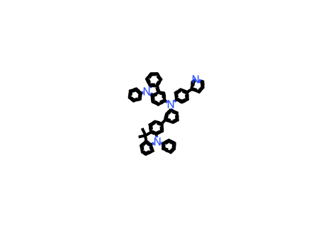 CC1(C)c2ccccc2N(c2ccccc2)c2cc(-c3cccc(N(c4ccc(-c5cccnc5)cc4)c4ccc5c(c4)c4ccccc4n5-c4ccccc4)c3)ccc21